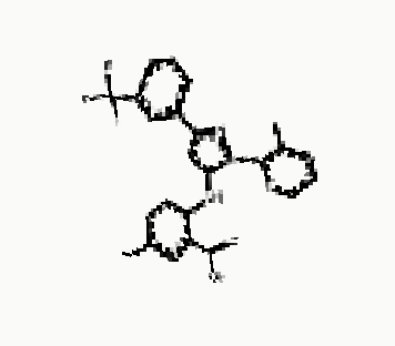 Cc1ccc(Nc2cc(-c3cccc(C(F)(F)F)c3)nn2-c2ncccc2C)c(C(=O)O)c1